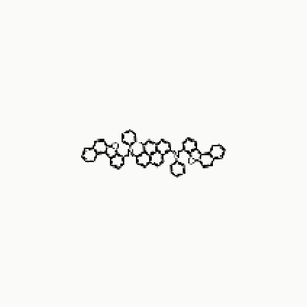 Cc1cc2ccc(N(c3ccccc3)c3cccc4c3oc3ccc5ccccc5c34)c3ccc4ccc(N(c5ccccc5)c5cccc6c5oc5ccc7ccccc7c56)c1c4c23